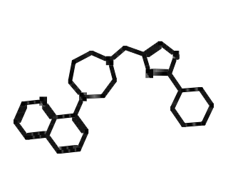 c1cnc2c(N3CCCN(Cc4csc(C5CCCCC5)n4)CC3)cccc2c1